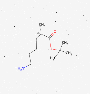 C[C@@H](CCCCN)C(=O)OC(C)(C)C